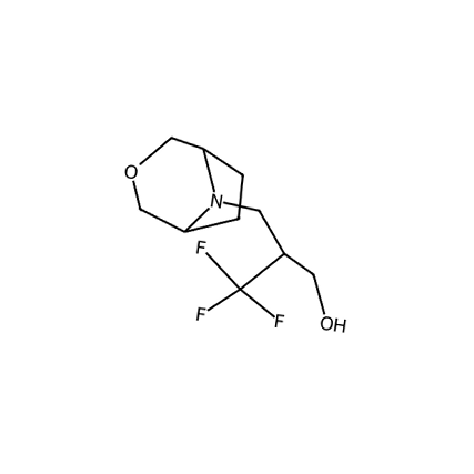 OCC(CN1C2CCC1COC2)C(F)(F)F